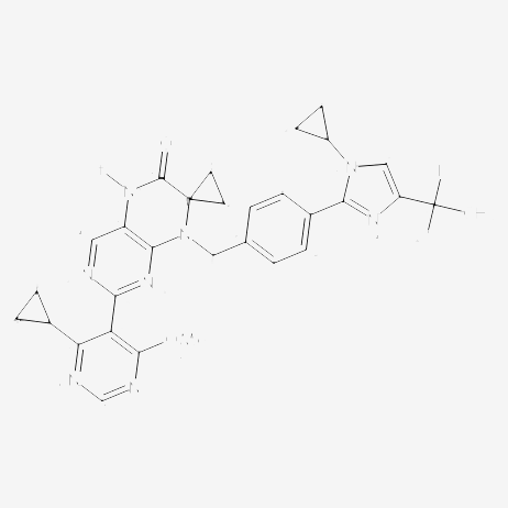 CCN1C(=O)C2(CC2)N(Cc2ccc(-c3nc(C(C)(F)F)cn3C3CC3)cc2)c2nc(-c3c(OC)ncnc3C3CC3)ncc21